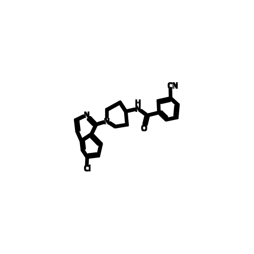 N#Cc1cccc(C(=O)NC2CCN(c3nccc4cc(Cl)ccc34)CC2)c1